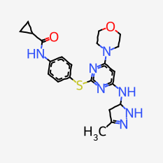 CC1=NNC(Nc2cc(N3CCOCC3)nc(Sc3ccc(NC(=O)C4CC4)cc3)n2)C1